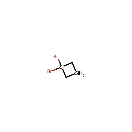 Br[Si]1(Br)C[SiH2]C1